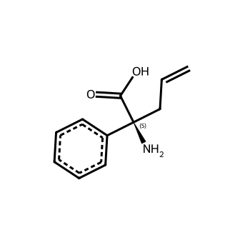 C=CC[C@@](N)(C(=O)O)c1ccccc1